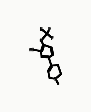 CN1CC=C(c2ccc(OC(F)(F)F)[c]([Pd])c2)CC1